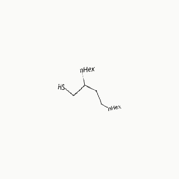 CCCCCCCCC(CS)CCCCCC